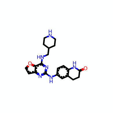 O=C1CCc2cc(Nc3nc(NCC4CCNCC4)c4occc4n3)ccc2N1